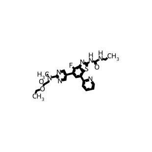 CCNC(=O)Nc1nc2c(F)c(-c3cnc(N(C)CC(=O)OCC)nc3)cc(-c3ccccn3)c2s1